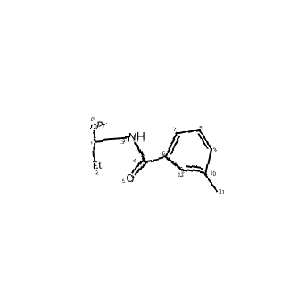 CCCC(CC)NC(=O)c1cccc(C)c1